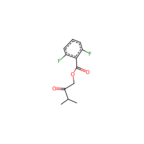 CC(C)C(=O)COC(=O)c1c(F)cccc1F